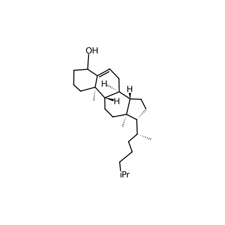 CC(C)CCC[C@@H](C)[C@H]1CC[C@H]2[C@@H]3CC=C4C(O)CCC[C@]4(C)[C@H]3CC[C@]12C